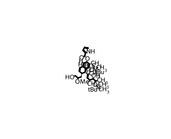 COC(CO)C[C@H]1C=C[C@H]2[C@H]3O[C@]1(/C(C)=C/C(C)C(O)C(C)O[Si](C)(C)C(C)(C)C)[C@@H]2[C@H](O[Si](C)(C)C(C)(C)C)[C@@H](C)[C@H]3OC(=O)c1ccc[nH]1